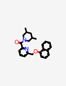 CC1CC(C)CN(C(=O)c2cccc(COc3cccc4ccccc34)n2)C1